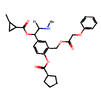 CCC(NC(C)(C)C)C(OC(=O)C1CC1C)c1ccc(OC(=O)C2CCCC2)c(COC(=O)COc2ccccc2)c1